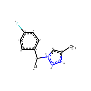 CCC(c1ccc(F)cc1)n1cc(C)nn1